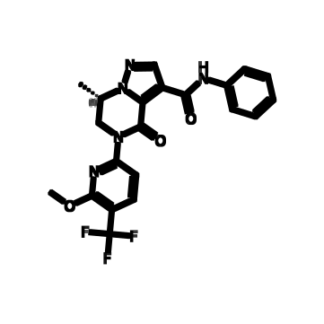 COc1nc(N2C[C@H](C)n3ncc(C(=O)Nc4ccccc4)c3C2=O)ccc1C(F)(F)F